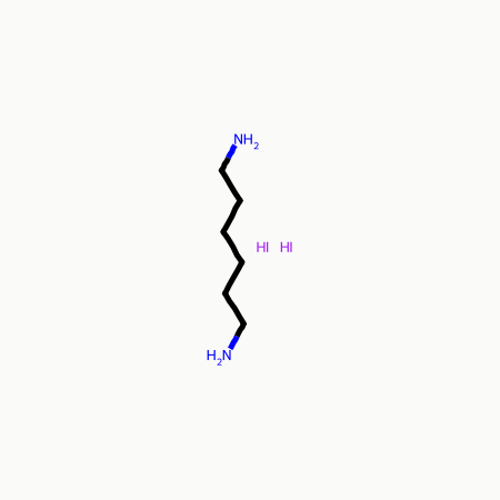 I.I.NCCCCCCN